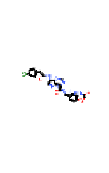 O=C1COc2ccc(CNC(=O)c3ncnc4c(NC(=O)Cc5ccc(Cl)cc5)c[nH]c34)cc2N1